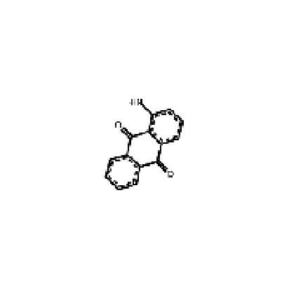 [NH]c1cccc2c1C(=O)c1ccccc1C2=O